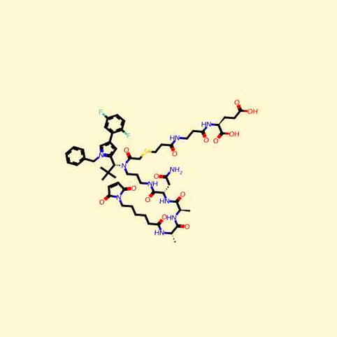 C[C@H](NC(=O)CCCCCN1C(=O)C=CC1=O)C(=O)N[C@H](C)C(=O)N[C@@H](CC(N)=O)C(=O)NCCCN(C(=O)CSCCC(=O)NCCC(=O)N[C@@H](CCC(=O)O)C(=O)O)[C@@H](c1cc(-c2cc(F)ccc2F)cn1Cc1ccccc1)C(C)(C)C